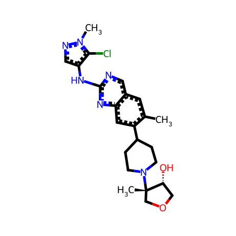 Cc1cc2cnc(Nc3cnn(C)c3Cl)nc2cc1C1CCN([C@@]2(C)COC[C@H]2O)CC1